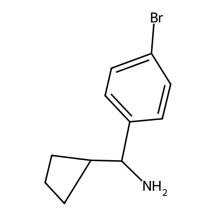 NC(c1ccc(Br)cc1)C1CCC1